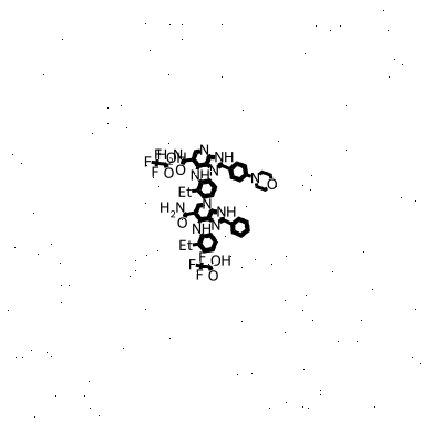 CCc1ccccc1Nc1c(C(N)=O)cnc2[nH]c(-c3ccc(N4CCOCC4)cc3)nc12.CCc1ccccc1Nc1c(C(N)=O)cnc2[nH]c(-c3ccccc3)nc12.O=C(O)C(F)(F)F.O=C(O)C(F)(F)F